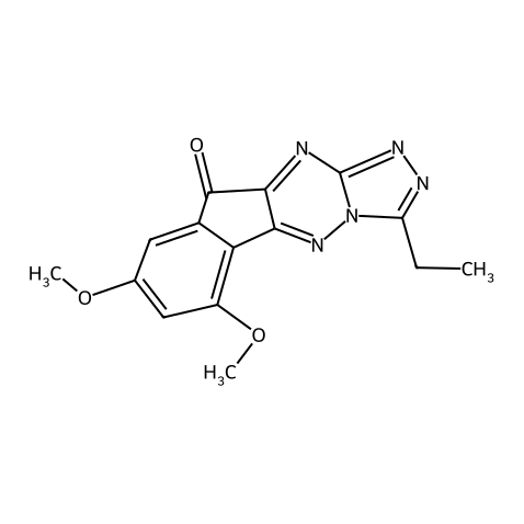 CCc1nnc2nc3c(nn12)-c1c(OC)cc(OC)cc1C3=O